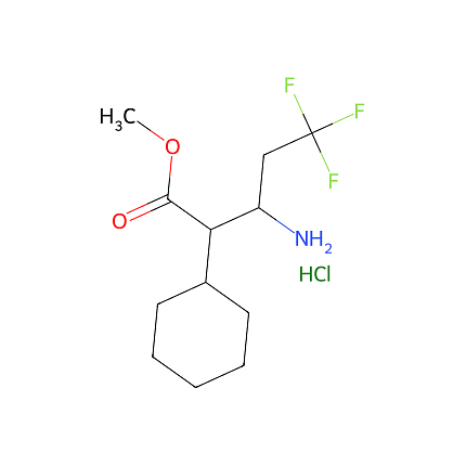 COC(=O)C(C(N)CC(F)(F)F)C1CCCCC1.Cl